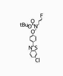 CC(C)(C)OC(=O)N(CC=CF)COc1ccc(-c2nc3ccc(Cl)cc3s2)cc1